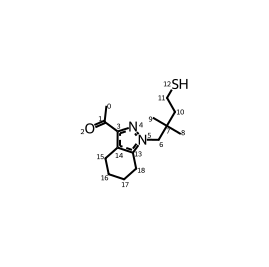 CC(=O)c1nn(CC(C)(C)CCS)c2c1CCCC2